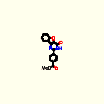 COC(=O)c1ccc(-c2nc3c(oc4ccccc43)c(=O)[nH]2)cc1